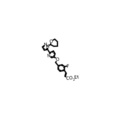 CCOC(=O)/C=C/c1ccc(COc2ccc(-c3ccnn3C3CCCCO3)nc2)cc1F